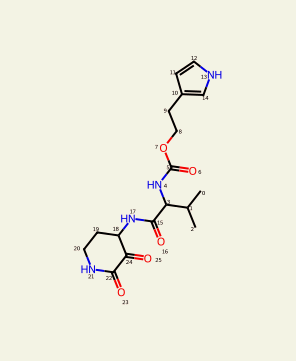 CC(C)C(NC(=O)OCCc1cc[nH]c1)C(=O)NC1CCNC(=O)C1=O